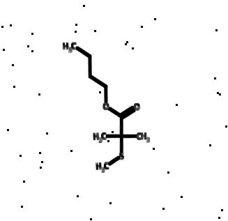 CCCCOC(=O)C(C)(C)SC